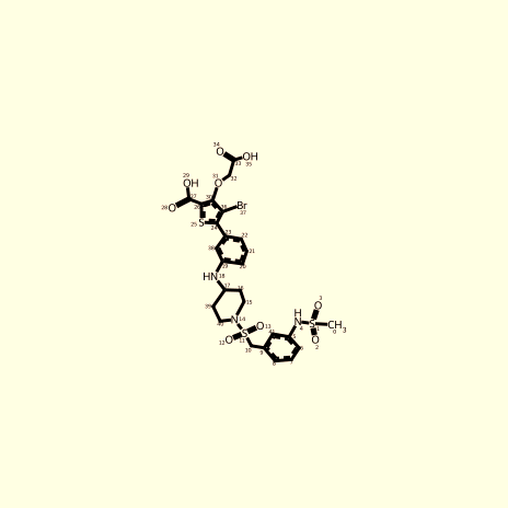 CS(=O)(=O)Nc1cccc(CS(=O)(=O)N2CCC(Nc3cccc(-c4sc(C(=O)O)c(OCC(=O)O)c4Br)c3)CC2)c1